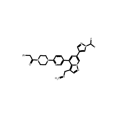 C=NCc1cnn2cc(-c3cnn(C(F)F)c3)cc(-c3ccc(N4CCN(C(=O)CC(C)C)CC4)nc3)c12